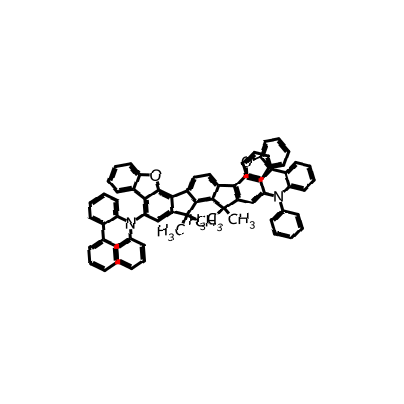 CC1(C)c2cc(N(c3ccccc3)c3ccccc3-c3ccccc3)c3c(oc4ccccc43)c2-c2ccc3c(c21)C(C)(C)c1cc(N(c2ccccc2)c2ccccc2-c2ccccc2)c2c(oc4ccccc42)c1-3